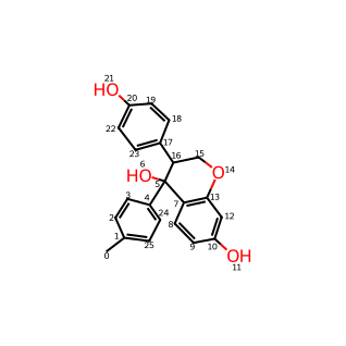 Cc1ccc(C2(O)c3ccc(O)cc3OCC2c2ccc(O)cc2)cc1